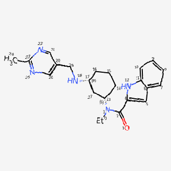 CCN(C(=O)c1cc2ccccc2[nH]1)[C@H]1CCC[C@@H](NCc2cnc(C)nc2)C1